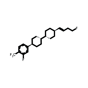 FCCC=C[C@H]1CC[C@H]([C@H]2CC[C@H](c3ccc(C(F)(F)F)c(F)c3)CC2)CC1